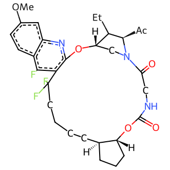 CCC1[C@@H]2CN(C(=O)CNC(=O)O[C@@H]3CCC[C@H]3CCCCC(F)(F)c3c(nc4cc(OC)ccc4c3F)O2)[C@@H]1C(C)=O